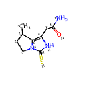 CC1CCn2c1c(CC(N)=O)[nH]c2=S